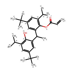 C=CC(=O)Oc1c(C(C)c2cc(C(C)(C)CC)cc(C(C)C(C)C)c2O)cc(C(C)(C)CC)cc1C(C)C(C)C